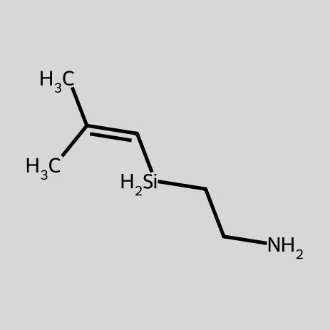 CC(C)=C[SiH2]CCN